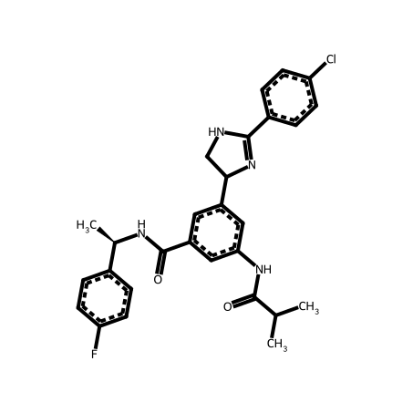 CC(C)C(=O)Nc1cc(C(=O)N[C@H](C)c2ccc(F)cc2)cc(C2CNC(c3ccc(Cl)cc3)=N2)c1